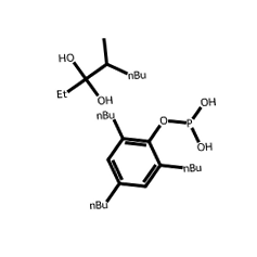 CCCCC(C)C(O)(O)CC.CCCCc1cc(CCCC)c(OP(O)O)c(CCCC)c1